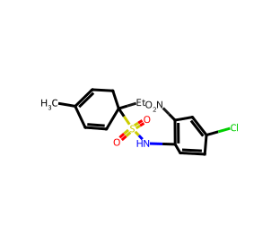 CCC1(S(=O)(=O)Nc2ccc(Cl)cc2[N+](=O)[O-])C=CC(C)=CC1